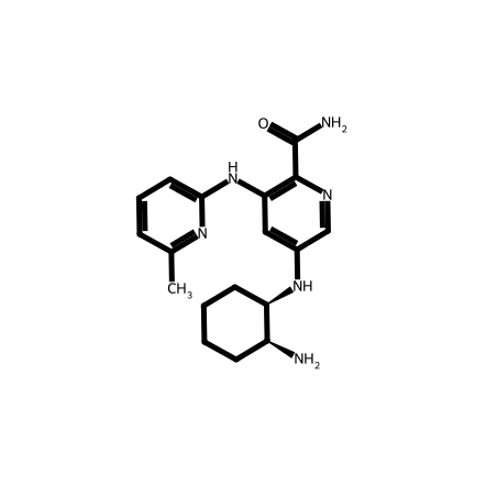 Cc1cccc(Nc2cc(N[C@@H]3CCCC[C@@H]3N)cnc2C(N)=O)n1